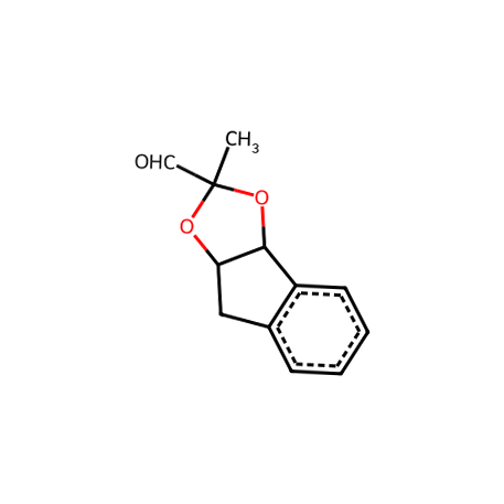 CC1(C=O)OC2Cc3ccccc3C2O1